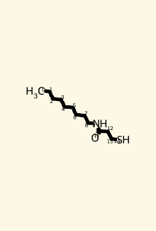 CCCCCCCCCNC(=O)CCS